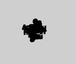 CC(=O)OC1C(O)[C@](CO)(CCO[Si](c2ccccc2)(c2ccccc2)C(C)(C)C)O[C@H]1N1C=NC2(Cc3ccccc3)C(=O)N=C(NC(=O)C(C)C)N(Cc3ccccc3)C12